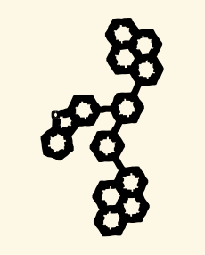 c1cc(-c2ccc(-c3ccc4ccc5cccc6ccc3c4c56)cc2-c2ccc3oc4ccccc4c3c2)cc(-c2ccc3ccc4cccc5ccc2c3c45)c1